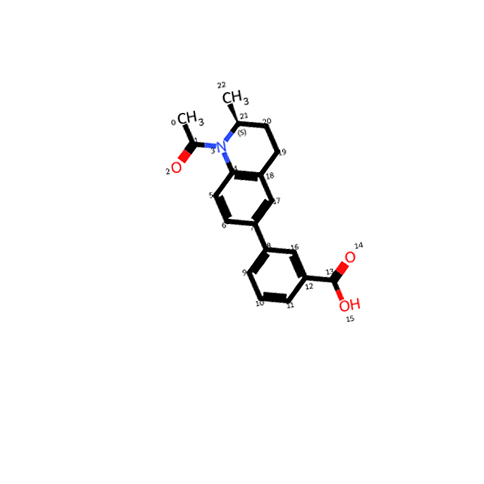 CC(=O)N1c2ccc(-c3cccc(C(=O)O)c3)cc2CC[C@@H]1C